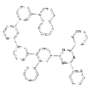 c1ccc(-c2cc(-c3nc(-c4ccccn4)nc(-c4ccccn4)n3)ccc2-c2cccc(-c3cccc(-c4cccc(-c5cccc6ccccc56)c4)c3)c2)cc1